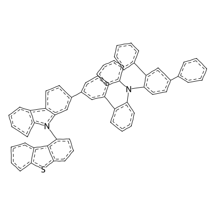 c1ccc(-c2ccc(N(c3ccccc3)c3ccccc3-c3cccc(-c4ccc5c6ccccc6n(-c6cccc7sc8ccccc8c67)c5c4)c3)c(-c3ccccc3)c2)cc1